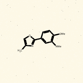 CNc1cc(-c2nc(C)co2)ccc1OC